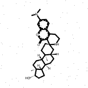 CN(C)c1ccc2c3c(c(=O)oc2c1)[C@]1(CC[C@@]2(C)[C@@H](CC[C@@H]4[C@@H]2CC[C@]2(C)[C@@H](O)CC[C@@H]42)C1)NCC3